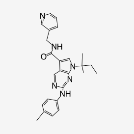 CCC(C)(C)n1cc(C(=O)NCc2cccnc2)c2cnc(Nc3ccc(C)cc3)nc21